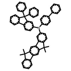 CC1(C)c2ccccc2-c2cc3c(cc21)-c1cc(N(c2ccc(-c4ccccc4)cc2)c2ccc4c(c2)C(c2ccccc2)(c2ccccc2)c2ccccc2-4)ccc1C3(C)C